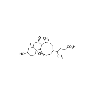 CC1CCC([C@H](C)CCC(=O)O)CCCC2C1C(=O)C[C@@H]1C[C@H](O)CC[C@]21C